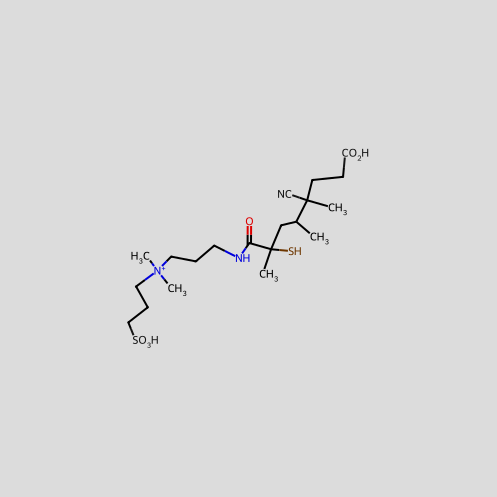 CC(CC(C)(S)C(=O)NCCC[N+](C)(C)CCCS(=O)(=O)O)C(C)(C#N)CCC(=O)O